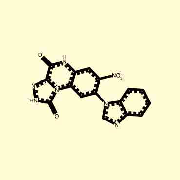 O=c1[nH]c2cc([N+](=O)[O-])c(-n3cnc4ccccc43)cc2n2c(=O)[nH]nc12